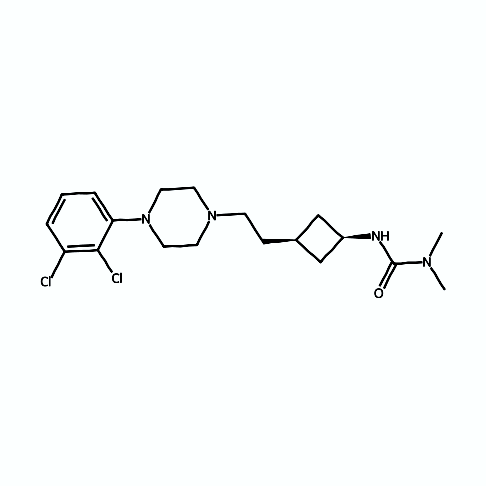 CN(C)C(=O)N[C@H]1C[C@@H](CCN2CCN(c3cccc(Cl)c3Cl)CC2)C1